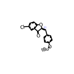 CC(C)(C)Oc1ccc(/C=C2/Oc3ccc(Cl)cc3C2=O)cc1